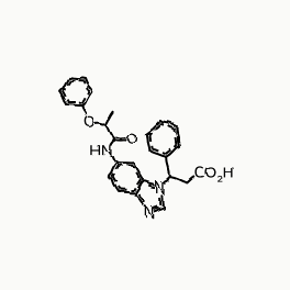 CC(Oc1ccccc1)C(=O)Nc1ccc2ncn(C(CC(=O)O)c3ccccc3)c2c1